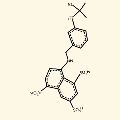 CCC(C)(C)Nc1cccc(CNc2ccc(S(=O)(=O)O)c3cc(S(=O)(=O)O)cc(S(=O)(=O)O)c23)c1